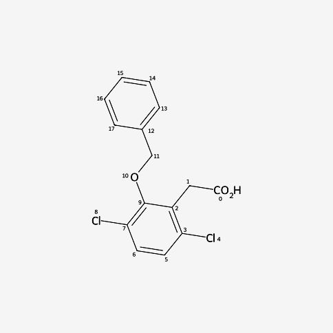 O=C(O)Cc1c(Cl)ccc(Cl)c1OCc1ccccc1